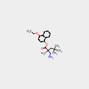 CCOc1ccc(OC(=O)C(C)(CN)CC(C)(C)C)c2ccccc12